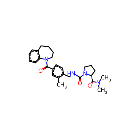 Cc1cc(C(=O)N2CCCCc3ccccc32)ccc1CNC(=O)N1CCC[C@H]1C(=O)N(C)C